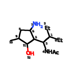 CCC(CC)C(NC(C)=O)C1C(N)CC(C)C1O